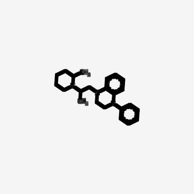 CC1CCCCN1C(C)CN1CCN(c2ccccc2)c2ccccc21